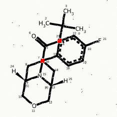 CC(C)(C)OC(=O)N1C[C@H]2COC[C@@H](C1)N2Cc1ccc(F)cn1